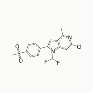 Cc1nc(Cl)cc2c1cc(-c1ccc(S(C)(=O)=O)cc1)n2C(F)F